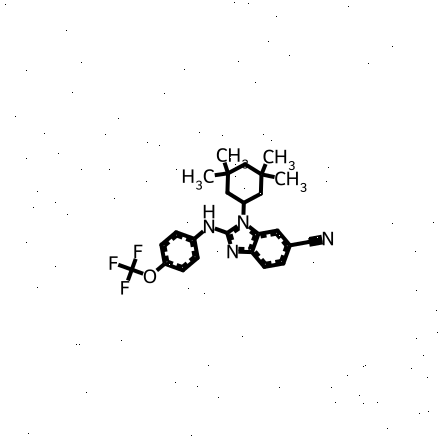 CC1(C)CC(n2c(Nc3ccc(OC(F)(F)F)cc3)nc3ccc(C#N)cc32)CC(C)(C)C1